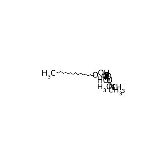 CCCCCCCCCCCCCCCC=COC[C@H](O)COP(=O)(O)OCC[N+](C)(C)C